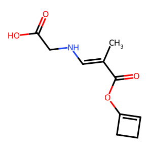 CC(=CNCC(=O)O)C(=O)OC1=CCC1